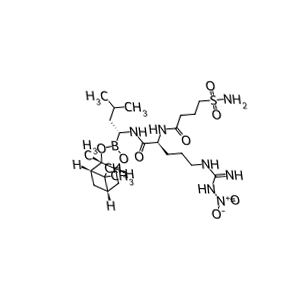 CC(C)C[C@H](NC(=O)[C@H](CCCNC(=N)N[N+](=O)[O-])NC(=O)CCCS(N)(=O)=O)B1O[C@@H]2C[C@@H]3C[C@@H](C3(C)C)[C@]2(C)O1